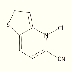 N#CC1=CC=C2SCC=C2N1Cl